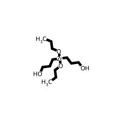 CCC[O][Zr]([CH2]CCO)([CH2]CCO)[O]CCC